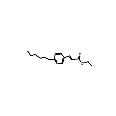 CCCCCCc1ccc(C=CC(=O)OCC)cc1